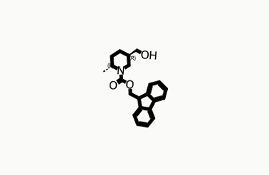 C[C@@H]1CC[C@@H](CO)CN1C(=O)OCC1c2ccccc2-c2ccccc21